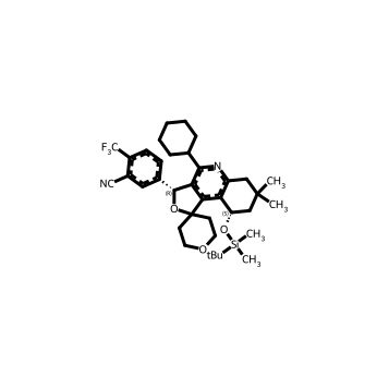 CC1(C)Cc2nc(C3CCCCC3)c3c(c2[C@@H](O[Si](C)(C)C(C)(C)C)C1)C1(CCOCC1)O[C@@H]3c1ccc(C(F)(F)F)c(C#N)c1